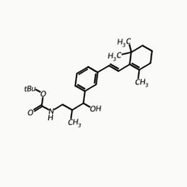 CC1=C(C=Cc2cccc(C(O)C(C)CNC(=O)OC(C)(C)C)c2)C(C)(C)CCC1